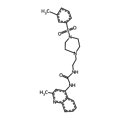 Cc1cccc(S(=O)(=O)N2CCN(CCNC(=O)Nc3cc(C)nc4ccccc34)CC2)c1